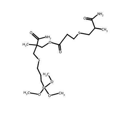 CO[Si](CCCSCC(C)(COC(=O)CCSCC(C)C(N)=O)C(N)=O)(OC)OC